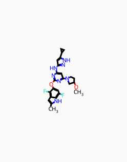 COC1CCN(c2cc(Nc3cc(C4CC4)[nH]n3)nc(Oc3cc(F)c4[nH]c(C)cc4c3F)n2)C1